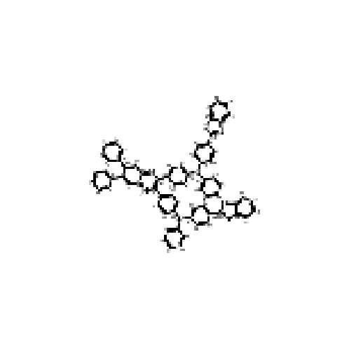 c1ccc(-c2cc3nc(-c4ccc(N(c5ccccc5)c5ccc(-c6nc7ccccc7o6)cc5)cc4)c(-c4ccc(N(c5ccccc5)c5ccc(-c6nc7ccccc7o6)cc5)cc4)nc3cc2-c2ccccc2)cc1